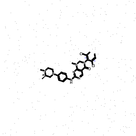 C/C=C(Cl)\C(=C(/C)Cl)N1CN(C)c2nc(Nc3ccc(N4CCN(C)[C@H](C)C4)cc3)ncc2C1=O